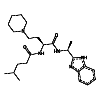 CC(C)CCC(=O)N[C@@H](CCN1CCCCC1)C(=O)N[C@@H](C)c1nc2ccccc2[nH]1